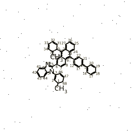 CC1C=C(n2c(-c3ccc4c(-c5ccc(-c6ccccc6)cc5)c5ccccc5c(C5C=CC=CC5C)c4c3)nc3ccccc32)C=CC1